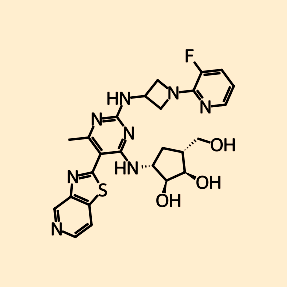 Cc1nc(NC2CN(c3ncccc3F)C2)nc(N[C@@H]2C[C@H](CO)[C@@H](O)[C@H]2O)c1-c1nc2cnccc2s1